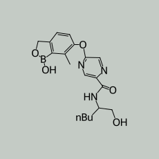 CCCCC(CO)NC(=O)c1cnc(Oc2ccc3c(c2C)B(O)OC3)cn1